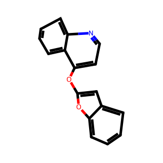 c1ccc2oc(Oc3ccnc4ccccc34)cc2c1